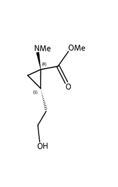 CN[C@]1(C(=O)OC)C[C@H]1CCO